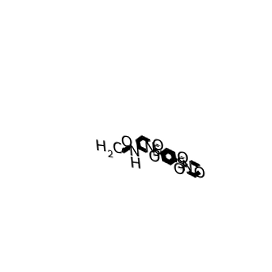 C=CC(=O)N[C@H]1CCCN(S(=O)(=O)c2ccc(S(=O)(=O)N3CCOCC3)cc2)C1